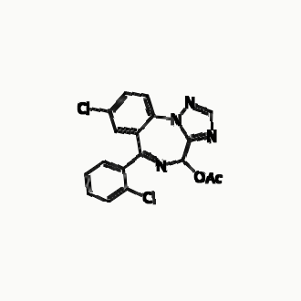 CC(=O)OC1N=C(c2ccccc2Cl)c2cc(Cl)ccc2-n2ncnc21